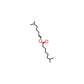 CC(C)CCCC=COC(=O)CCCCCC(C)C